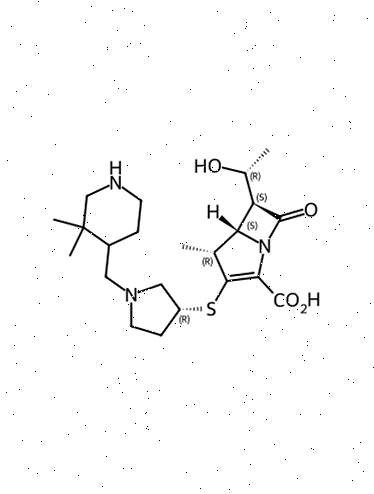 C[C@@H](O)[C@H]1C(=O)N2C(C(=O)O)=C(S[C@@H]3CCN(CC4CCNCC4(C)C)C3)[C@H](C)[C@H]12